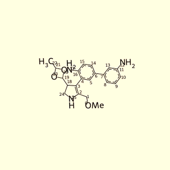 COCC1=C(c2cc(-c3cccc(N)c3)ccc2N)C(C2OC(C)O2)CN1